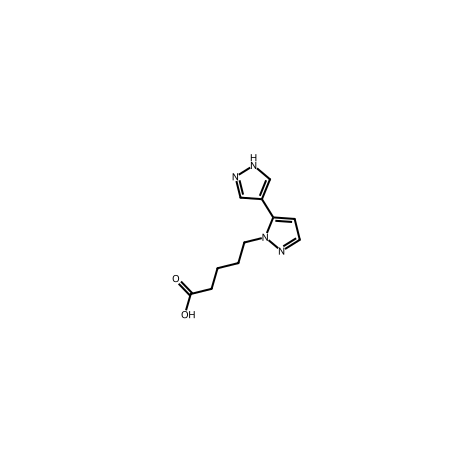 O=C(O)CCCCn1nccc1-c1cn[nH]c1